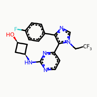 O[C@H]1C[C@@H](Nc2nccc(-c3c(-c4ccc(F)cc4)ncn3CC(F)(F)F)n2)C1